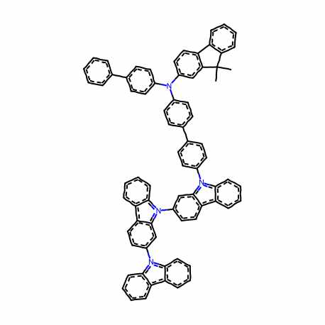 CC1(C)c2ccccc2-c2ccc(N(c3ccc(-c4ccccc4)cc3)c3ccc(-c4ccc(-n5c6ccccc6c6ccc(-n7c8ccccc8c8ccc(-n9c%10ccccc%10c%10ccccc%109)cc87)cc65)cc4)cc3)cc21